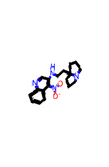 O=[N+]([O-])c1c(NCCC23CCCN2CCC3)cnc2ccccc12